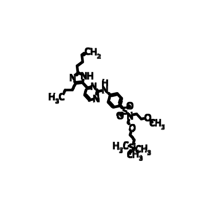 C=CCCc1nc(CCC)c(-c2ccnc(Nc3ccc(S(=O)(=O)N(CCOC)COCC[Si](C)(C)C)cc3)n2)[nH]1